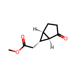 COC(=O)C[C@@H]1[C@H]2CCC(=O)[C@H]21